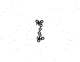 c1ccc(-n2c(-c3ccc4cc(-c5ccc(-c6ccc7c8ccccc8n8c9ccccc9nc8c7c6)cc5)ccc4c3)nc3ccccc32)cc1